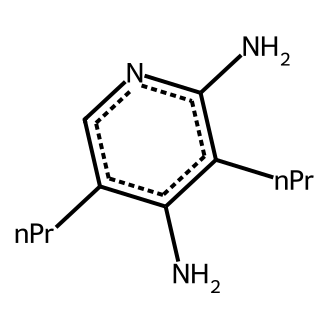 CCCc1cnc(N)c(CCC)c1N